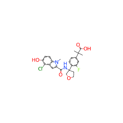 Cn1c(C(=O)NC2(c3ccc(C(C)(C)C(=O)O)cc3F)CCOC2)cc2c(Cl)c(O)ccc21